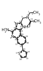 CCN(Cc1nc2c(N)nc3cc(-c4cccs4)ccc3c2[nH]1)C(C)=O